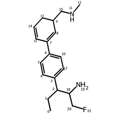 CCC(c1ccc(C2=CC(CNC)CC=C2)cc1)C(N)CF